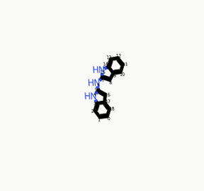 c1ccc2[nH]c(Nc3cc4ccccc4[nH]3)cc2c1